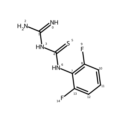 N=C(N)NC(=S)Nc1c(F)cccc1F